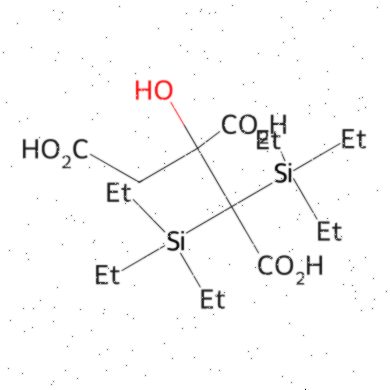 CC[Si](CC)(CC)C(C(=O)O)(C(O)(CC(=O)O)C(=O)O)[Si](CC)(CC)CC